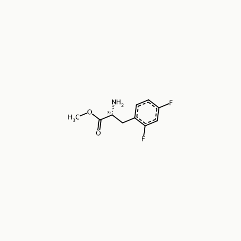 COC(=O)[C@H](N)Cc1ccc(F)cc1F